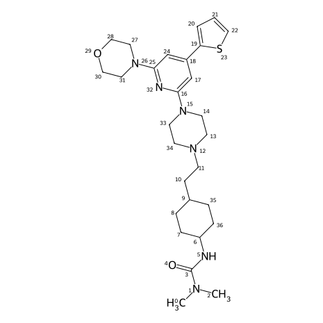 CN(C)C(=O)NC1CCC(CCN2CCN(c3cc(-c4cccs4)cc(N4CCOCC4)n3)CC2)CC1